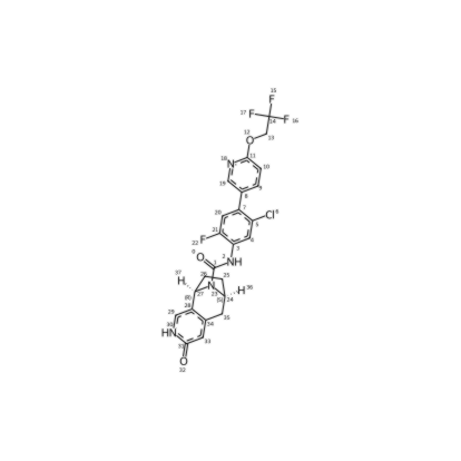 O=C(Nc1cc(Cl)c(-c2ccc(OCC(F)(F)F)nc2)cc1F)N1[C@H]2CC[C@@H]1c1c[nH]c(=O)cc1C2